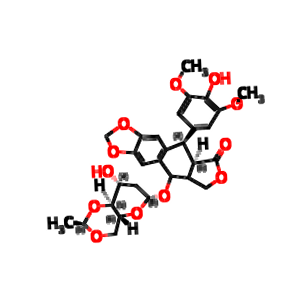 COc1cc([C@@H]2c3cc4c(cc3C(O[C@H]3C[C@@H](O)[C@@H]5O[C@H](C)OC[C@H]5O3)C3COC(=O)[C@@H]32)OCO4)cc(OC)c1O